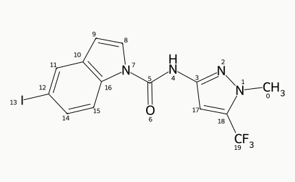 Cn1nc(NC(=O)n2ccc3cc(I)ccc32)cc1C(F)(F)F